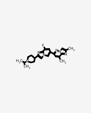 Cc1cn2nc(-c3cc(F)c4nc(C5CCN(C(C)C)CC5)cn4c3)cc(C)c2n1